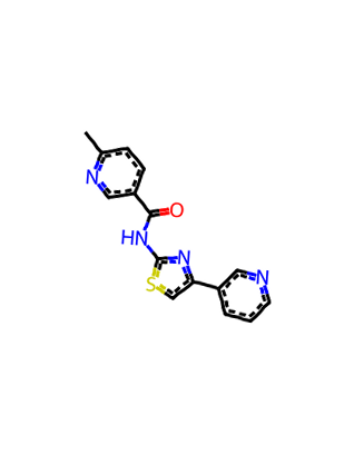 Cc1ccc(C(=O)Nc2nc(-c3cccnc3)cs2)cn1